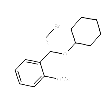 COc1ccccc1[C@H](CBr)OC1CCCCC1